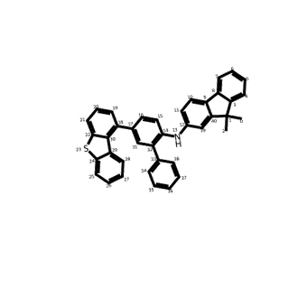 CC1(C)c2ccccc2-c2ccc(Nc3ccc(-c4cccc5sc6ccccc6c45)cc3-c3ccccc3)cc21